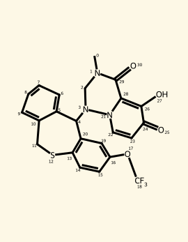 CN1CN(C2c3ccccc3CSc3ccc(OC(F)(F)F)cc32)n2ccc(=O)c(O)c2C1=O